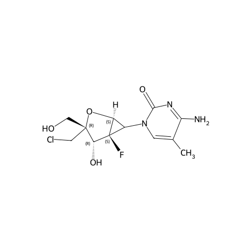 Cc1cn(C2[C@@H]3O[C@@](CO)(CCl)[C@@H](O)[C@@]23F)c(=O)nc1N